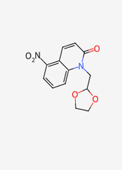 O=c1ccc2c([N+](=O)[O-])cccc2n1CC1OCCO1